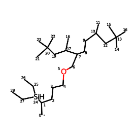 [CH2]C(CCCOCC(CCC(C)CC(C)(C)C)C(C)CC(C)(C)C)[SiH](CC)CC